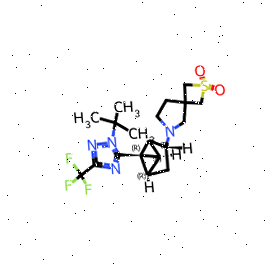 CC(C)(C)n1nc(C(F)(F)F)nc1[C@]12C3[C@H](N4CCC5(C4)CS(=O)(=O)C5)C[C@@H]1[C@H]32